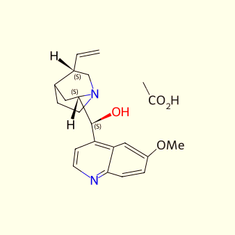 C=C[C@@H]1CN2CCC1C[C@H]2[C@@H](O)c1ccnc2ccc(OC)cc12.CC(=O)O